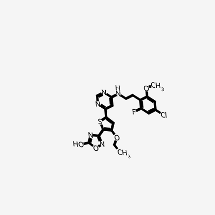 CCOc1cc(-c2cc(NCCc3c(F)cc(Cl)cc3OC)ncn2)sc1-c1noc(O)n1